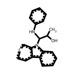 CC(O)C(Nc1ccccc1)n1c2ccccc2c2ccccc21